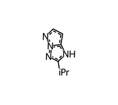 CC(C)c1nn2nccc2[nH]1